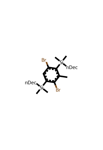 CCCCCCCCCC[Si](C)(C)c1cc(Br)c([Si](C)(C)CCCCCCCCCC)c(C)c1Br